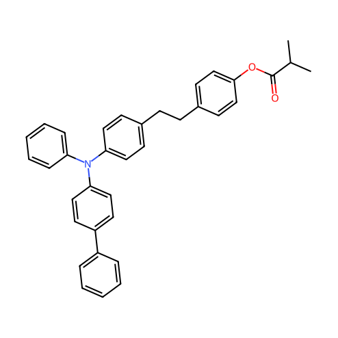 CC(C)C(=O)Oc1ccc(CCc2ccc(N(c3ccccc3)c3ccc(-c4ccccc4)cc3)cc2)cc1